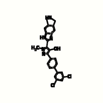 Cn1nc(-c2ccc(-c3cc(Cl)cc(Cl)c3)cc2)c(O)c1-c1nc2cc3c(cc2[nH]1)CNC3